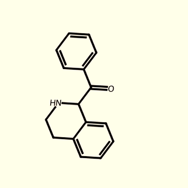 O=C(c1ccccc1)C1NCCc2ccccc21